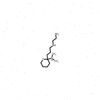 C[SiH](C)C1(CCCNCCN)CCCCO1